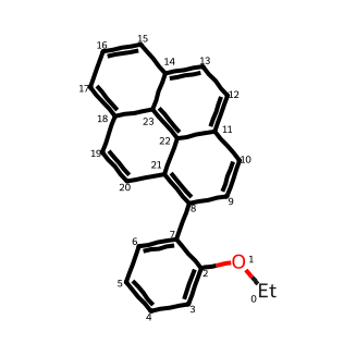 CCOc1ccccc1-c1ccc2ccc3cccc4ccc1c2c34